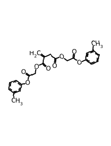 C=C(CC(=O)OCC(=O)Oc1cccc(C)c1)C(=O)OCC(=O)Oc1cccc(C)c1